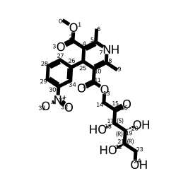 COC(=O)C1=C(C)NC(C)=C(C(=O)OCC(=O)[C@@H](O)[C@H](O)[C@H](O)CO)C1c1cccc([N+](=O)[O-])c1